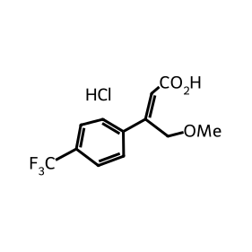 COCC(=CC(=O)O)c1ccc(C(F)(F)F)cc1.Cl